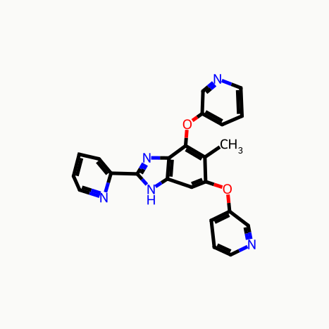 Cc1c(Oc2cccnc2)cc2[nH]c(-c3ccccn3)nc2c1Oc1cccnc1